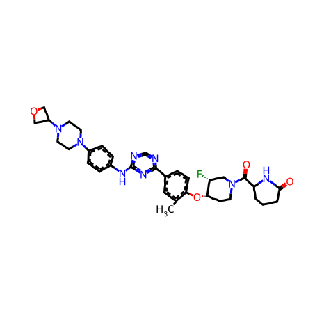 Cc1cc(-c2ncnc(Nc3ccc(N4CCN(C5COC5)CC4)cc3)n2)ccc1O[C@H]1CCN(C(=O)C2CCCC(=O)N2)C[C@H]1F